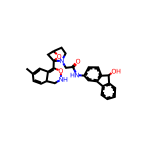 CC1=CC2=C(C34CC(CCN3CC(=O)Nc3ccc5c(c3)-c3ccccc3C5O)O4)ONCC2C=C1